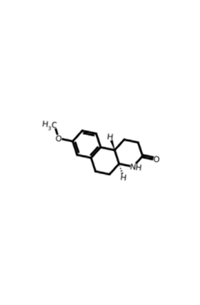 COc1ccc2c(c1)CC[C@@H]1NC(=O)CC[C@@H]21